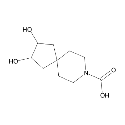 O=C(O)N1CCC2(CC1)CC(O)C(O)C2